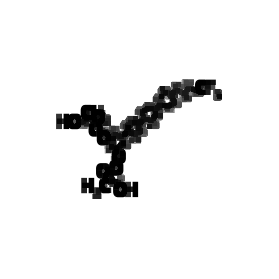 C=C(CO)C(=O)OCOc1cc(OCOC(=O)C(=C)CO)cc(-c2ccc(C3CCC(C4CCC(CCCCC(F)(F)F)CC4)CC3)cc2)c1